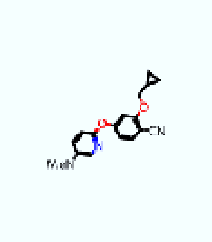 CNc1ccc(Oc2ccc(C#N)c(OCC3CC3)c2)nc1